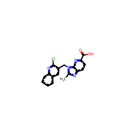 Cc1nc2ccc(C(=O)O)nc2n1Cc1cc2ccccc2nc1Cl